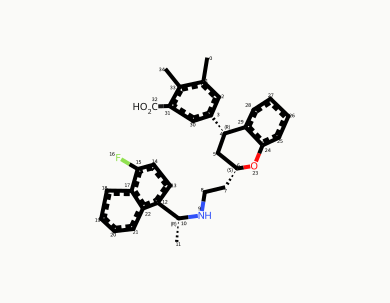 Cc1cc([C@H]2C[C@@H](CCN[C@H](C)c3ccc(F)c4ccccc34)Oc3ccccc32)cc(C(=O)O)c1C